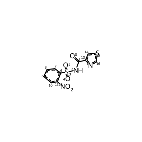 O=C(NS(=O)(=O)c1ccccc1[N+](=O)[O-])c1cscn1